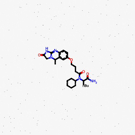 CCCCC(C(N)=O)N(C(=O)CCCOc1ccc2c(c1)C(C)N1CC(=O)NC1=N2)C1CCCCC1